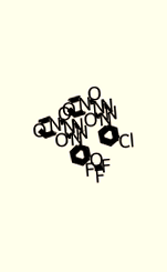 O=C(N1CCOCC1)n1nnn(-c2cccc(Cl)c2)c1=O.O=C(N1CCOCC1)n1nnn(-c2cccc(OC(F)(F)F)c2)c1=O